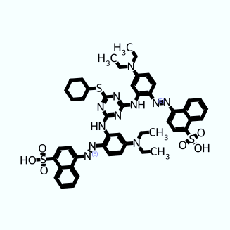 CCN(CC)c1ccc(/N=N/c2ccc(S(=O)(=O)O)c3ccccc23)c(Nc2nc(Nc3cc(N(CC)CC)ccc3/N=N/c3ccc(S(=O)(=O)O)c4ccccc34)nc(SC3CCCCC3)n2)c1